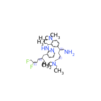 C=C/C(=C\C=C(\F)CF)Cc1cccnc1NC(C)c1cc(/C(=C/N)C/C=C\CN(C)CC)ccc1N(C)C